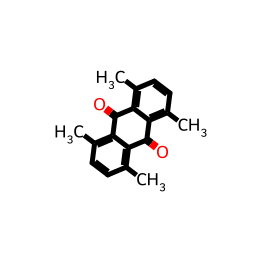 Cc1ccc(C)c2c1C(=O)c1c(C)ccc(C)c1C2=O